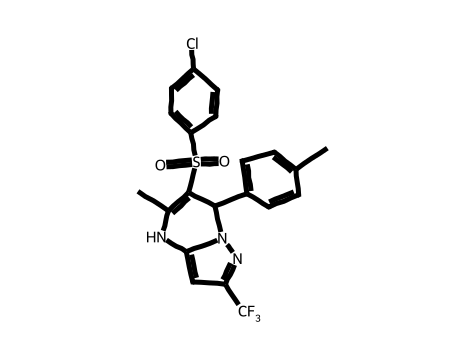 CC1=C(S(=O)(=O)c2ccc(Cl)cc2)C(c2ccc(C)cc2)n2nc(C(F)(F)F)cc2N1